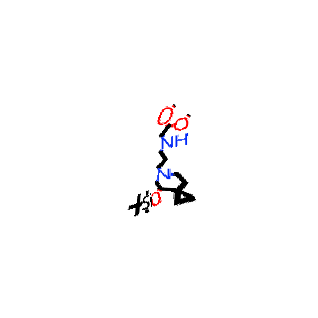 COC(CNCCCN1CCC2(CC2)C(O[Si](C)(C)C(C)(C)C)C1)OC